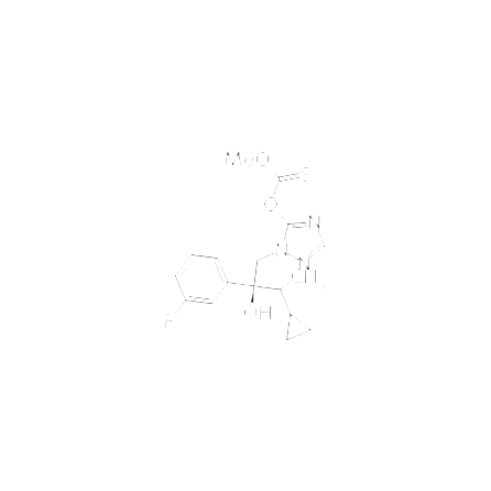 COC(=S)Oc1ncnn1C[C@@](O)(c1cccc(F)c1)C(C)C1CC1